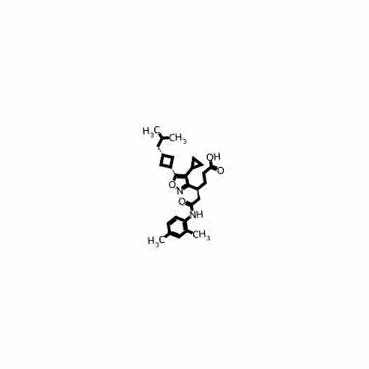 Cc1ccc(NC(=O)C[C@H](CCC(=O)O)c2noc([C@H]3C[C@@H](CC(C)C)C3)c2C2CC2)c(C)c1